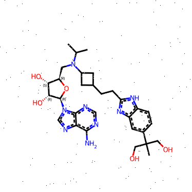 CC(C)N(C[C@H]1O[C@@H](n2cnc3c(N)ncnc32)[C@H](O)[C@@H]1O)C1CC(CCc2nc3cc(C(C)(CO)CO)ccc3[nH]2)C1